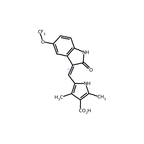 Cc1[nH]c(/C=C2\C(=O)Nc3ccc(OC(F)(F)F)cc32)c(C)c1C(=O)O